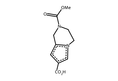 COC(=O)N1CCn2cc(C(=O)O)cc2C1